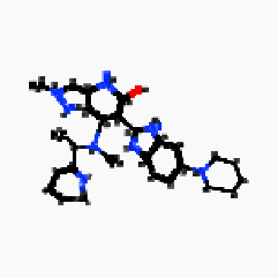 CC(c1ccccn1)N(C)c1c(-c2nc3ccc(N4CCCCC4)cc3[nH]2)c(=O)[nH]c2cn(C)nc12